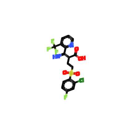 N=C(c1ncccc1C(F)(F)F)C(CCS(=O)(=O)c1ccc(F)cc1Cl)C(=O)O